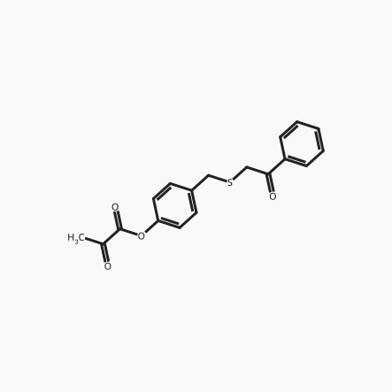 CC(=O)C(=O)Oc1ccc(CSCC(=O)c2ccccc2)cc1